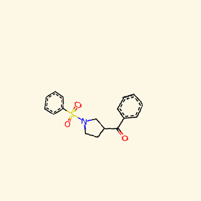 O=C(c1ccccc1)C1CCN(S(=O)(=O)c2ccccc2)C1